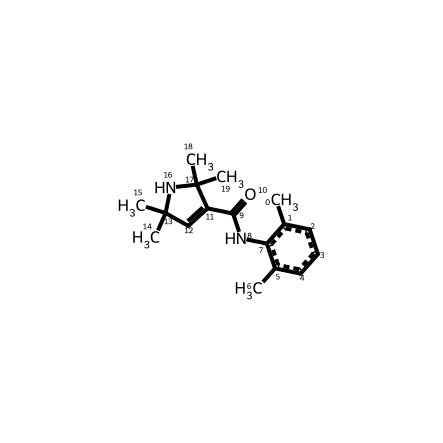 Cc1cccc(C)c1NC(=O)C1=CC(C)(C)NC1(C)C